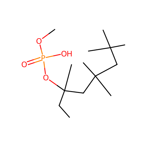 CCC(C)(CC(C)(C)CC(C)(C)C)OP(=O)(O)OC